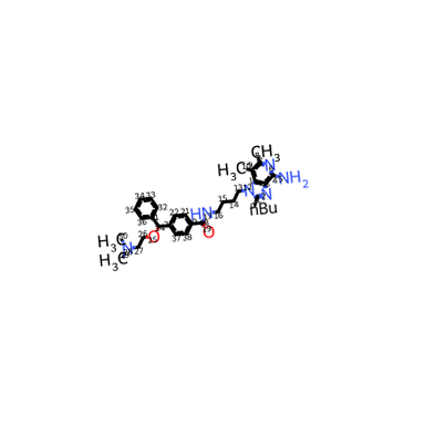 CCCCc1nc2c(N)nc(C)c(C)c2n1CCCCNC(=O)c1ccc(C(OCCN(C)C)c2ccccc2)cc1